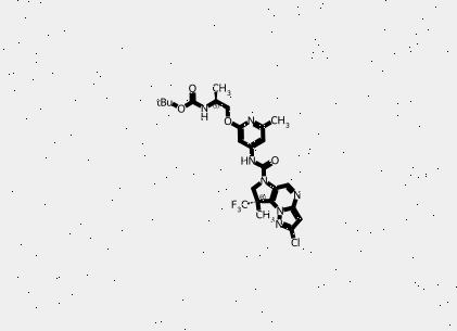 Cc1cc(NC(=O)N2C[C@@](C)(C(F)(F)F)c3c2cnc2cc(Cl)nn32)cc(OC[C@H](C)NC(=O)OC(C)(C)C)n1